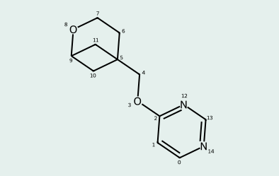 c1cc(OCC23CCOC(C2)C3)ncn1